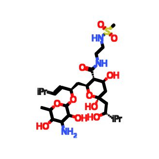 CC(C)/C=C/[C@@H](C[C@@H]1O[C@](O)(C[C@@H](O)C(C)C)C[C@H](O)[C@H]1C(=O)NCCNS(C)(=O)=O)OC1OC(C)C(O)C(N)C1O